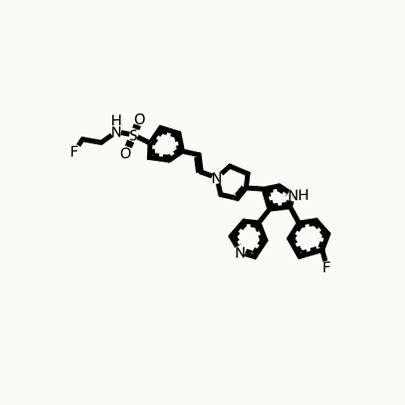 O=S(=O)(NCCF)c1ccc(C=CN2CC=C(c3c[nH]c(-c4ccc(F)cc4)c3-c3ccncc3)CC2)cc1